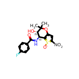 CC1(C)Oc2cc([N+](=O)[O-])[s+]([O-])c2[C@@H](NC(=O)c2ccc(F)cc2)[C@@H]1O